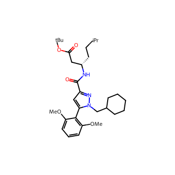 COc1cccc(OC)c1-c1cc(C(=O)N[C@@H](CCC(C)C)CC(=O)OC(C)(C)C)nn1CC1CCCCC1